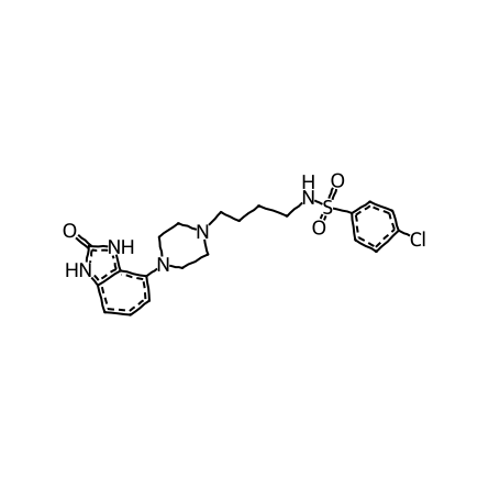 O=c1[nH]c2cccc(N3CCN(CCCCNS(=O)(=O)c4ccc(Cl)cc4)CC3)c2[nH]1